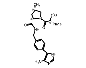 CN[C@H](C(=O)N1C[C@H](C)C[C@H]1C(=O)NCc1ccc(-c2[nH]cnc2C)cc1)C(C)(C)C